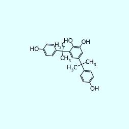 CC(C)(c1ccc(O)cc1)c1cc(O)c(O)c(C(C)(C)c2ccc(O)cc2)c1